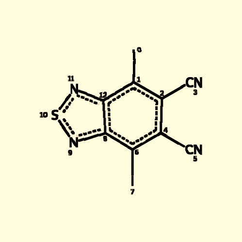 Cc1c(C#N)c(C#N)c(I)c2nsnc12